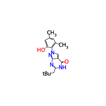 Cc1cc(C)c(-n2cc3c(=O)[nH]c(CC(C)(C)C)nc3n2)c(O)c1